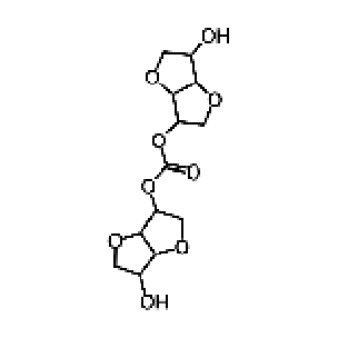 O=C(OC1COC2C(O)COC12)OC1COC2C(O)COC12